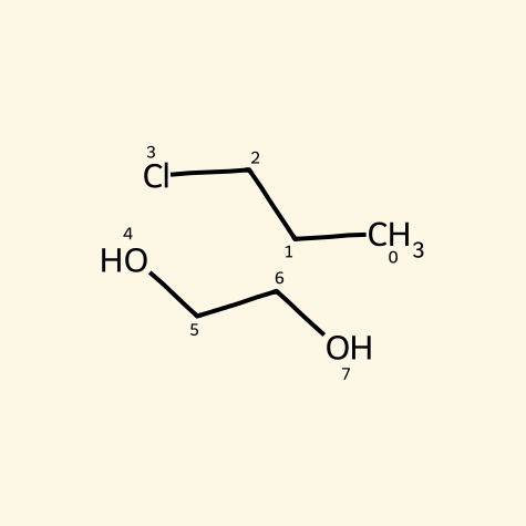 CCCCl.OCCO